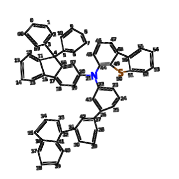 c1ccc(C2(c3ccccc3)c3ccccc3-c3ccc(N(c4cccc(-c5cccc(-c6cccc7ccccc67)c5)c4)c4cccc5c4sc4ccccc45)cc32)cc1